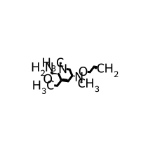 C=CCON(C)[C@@H]1C=C(CC)[C@@H](C(N)=O)N(C)C1